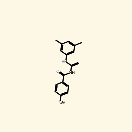 C=C(NC(=O)c1ccc(C(C)(C)C)cc1)Nc1cc(C)cc(C)c1